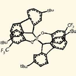 CC(C)(C)c1ccc2c(c1)[CH]([Zr]([O]c1cccc(C(F)(F)F)c1)([O]c1cccc(C(F)(F)F)c1)[CH]1c3cc(C(C)(C)C)ccc3-c3ccc(C(C)(C)C)cc31)c1cc(C(C)(C)C)ccc1-2